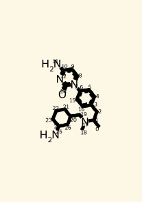 CC(Cc1ccc(-n2ccc(N)nc2=O)cc1)N(C)CC1CCCC(N)C1